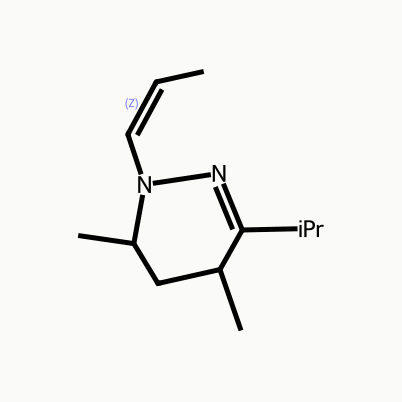 C/C=C\N1N=C(C(C)C)C(C)CC1C